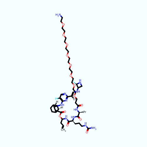 C=CCC(NC(=O)[C@H](CCCNC(N)=O)NC(=O)[C@@H](NC(=O)CCOCCOCCOCCOCCOCCOCCOCCOCCN)C(C)C)OC(=O)[C@H]1C2CCC(CC2)[C@@H]1Nc1nc(/C(=C/NC2CN[C@@H]2F)CC)ncc1F